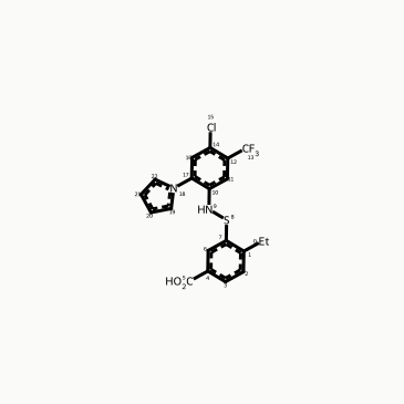 CCc1ccc(C(=O)O)cc1SNc1cc(C(F)(F)F)c(Cl)cc1-n1cccc1